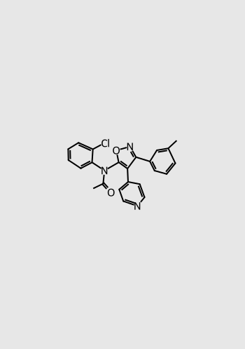 CC(=O)N(c1ccccc1Cl)c1onc(-c2cccc(C)c2)c1-c1ccncc1